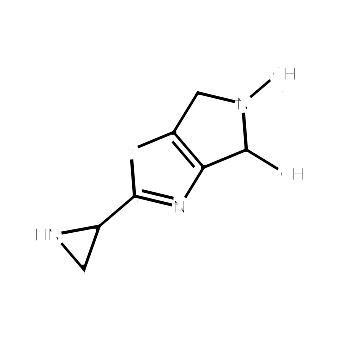 CC1c2nc(C3CN3)sc2CN1C